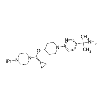 CC(C)N1CCN(C(OC2CCN(c3ccc(C(C)(C)N)cn3)CC2)=C2CC2)CC1